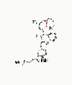 O=C(O)CCc1c[nH]c2ccc(CC(=O)NC(c3cccc(F)c3)c3ccccc3N3CCCCC3)cc12